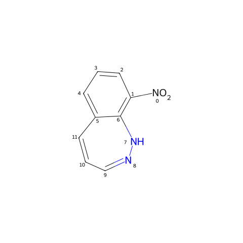 O=[N+]([O-])c1cccc2c1NN=CC=C2